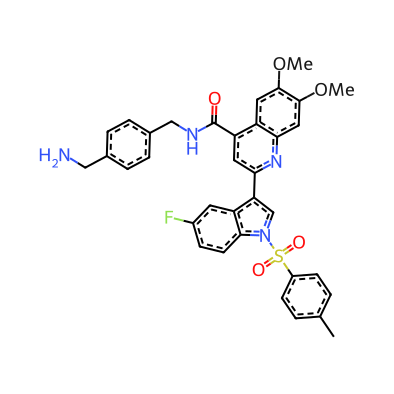 COc1cc2nc(-c3cn(S(=O)(=O)c4ccc(C)cc4)c4ccc(F)cc34)cc(C(=O)NCc3ccc(CN)cc3)c2cc1OC